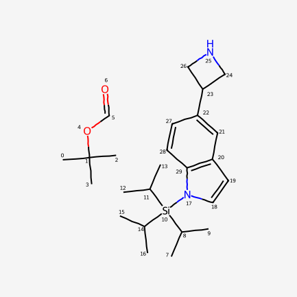 CC(C)(C)OC=O.CC(C)[Si](C(C)C)(C(C)C)n1ccc2cc(C3CNC3)ccc21